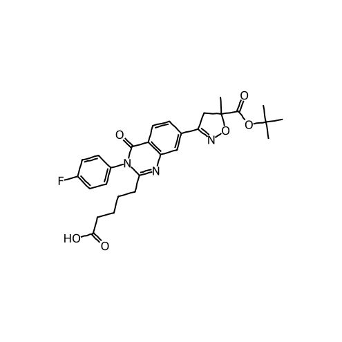 CC(C)(C)OC(=O)C1(C)CC(c2ccc3c(=O)n(-c4ccc(F)cc4)c(CCCCC(=O)O)nc3c2)=NO1